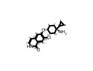 N[C@]1(C2CC2)CC[C@@H](Oc2cc3cc[nH]c(=O)c3cc2Cl)CC1